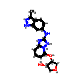 Cc1n[nH]c2cc(Nc3nc4cccc(O[C@@H]5COC[C@@H]5O)n4n3)ccc12